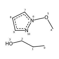 CCCO.COn1cccn1